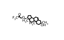 C[C@]1(O)CC[C@@]2(C)C(=CCC3C2CC[C@@]2(C)C3CC[C@@H]2COCC(=O)C(F)(F)F)C1